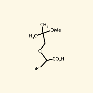 CCCC(OCC(C)(C)OC)C(=O)O